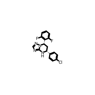 Fc1cccc(F)c1[C@@H]1C[C@H](c2ccc(Cl)cc2)Nc2ncnn21